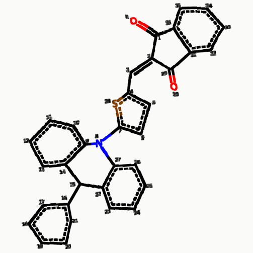 O=C1C(=Cc2ccc(N3c4ccccc4C(c4ccccc4)c4ccccc43)s2)C(=O)c2ccccc21